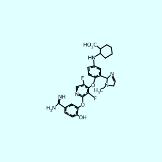 CN1CC=NC1c1cc(NC2CCCCC2C(=O)O)ccc1Oc1c(F)cnc(Oc2cc(C(=N)N)ccc2O)c1F